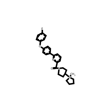 C[N+]1(C2CCN(C(=O)c3cccc(-c4ccc(Oc5ccc(F)cc5)cc4)n3)CC2)CCCC1